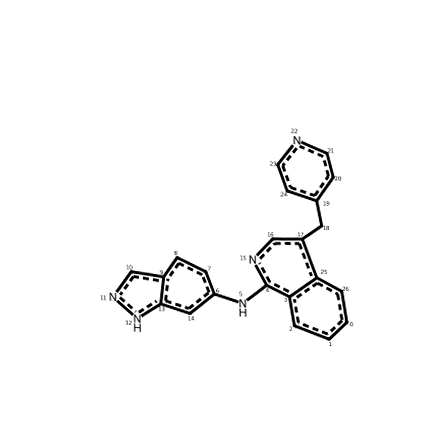 c1ccc2c(Nc3ccc4cn[nH]c4c3)ncc(Cc3ccncc3)c2c1